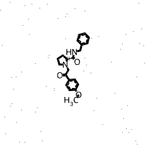 COc1ccc(C(=O)CN2CCC[C@H]2C(=O)NCc2ccccc2)cc1